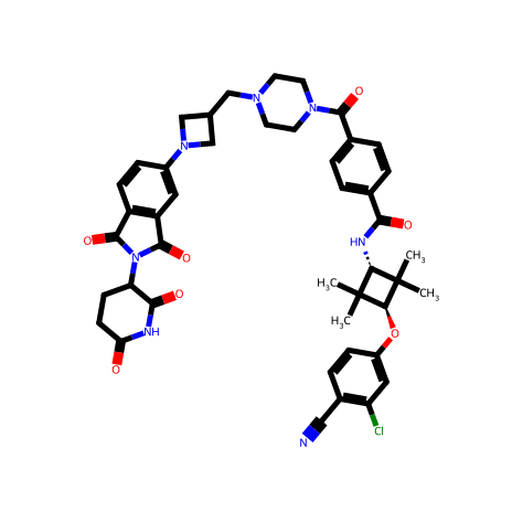 CC1(C)[C@H](NC(=O)c2ccc(C(=O)N3CCN(CC4CN(c5ccc6c(c5)C(=O)N(C5CCC(=O)NC5=O)C6=O)C4)CC3)cc2)C(C)(C)[C@H]1Oc1ccc(C#N)c(Cl)c1